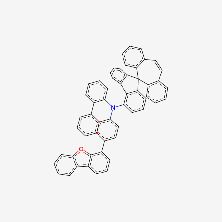 C1=Cc2ccccc2C2(c3ccccc31)c1ccccc1-c1c(N(c3ccc(-c4cccc5c4oc4ccccc45)cc3)c3ccccc3-c3ccccc3)cccc12